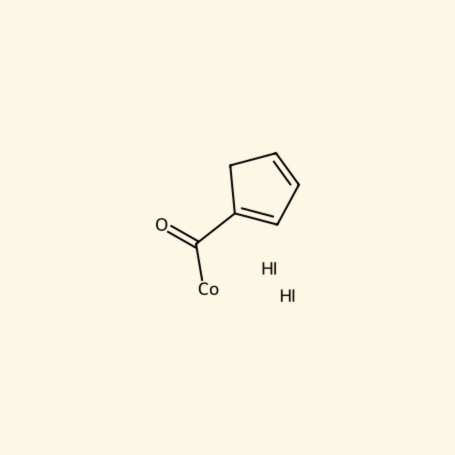 I.I.O=[C]([Co])C1=CC=CC1